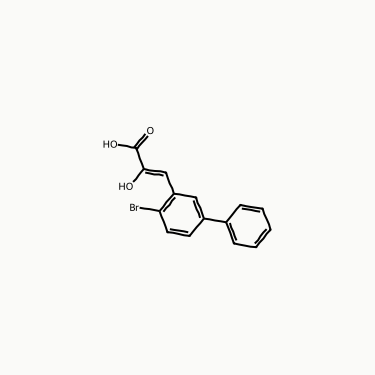 O=C(O)/C(O)=C/c1cc(-c2ccccc2)ccc1Br